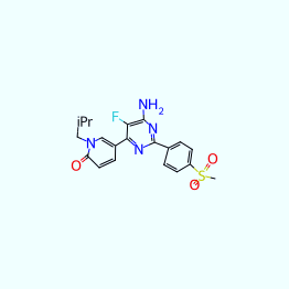 CC(C)Cn1cc(-c2nc(-c3ccc(S(C)(=O)=O)cc3)nc(N)c2F)ccc1=O